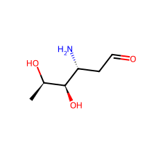 C[C@@H](O)[C@H](O)[C@H](N)CC=O